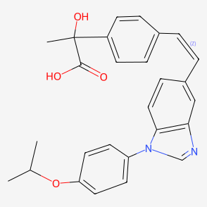 CC(C)Oc1ccc(-n2cnc3cc(/C=C\c4ccc(C(C)(O)C(=O)O)cc4)ccc32)cc1